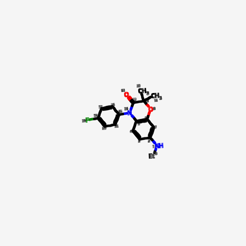 CCNc1ccc2c(c1)OC(C)(C)C(=O)N2c1ccc(F)cc1